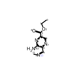 CCOC(=O)c1cnc(/C=N\C)c(N)n1